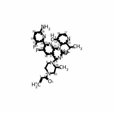 C=CC(=O)N1CCN(c2nc(=O)n(-c3c(C)ccnc3C(C)C)c3nc(-c4nc(N)ccc4F)c(F)cc23)C(C)C1